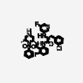 C[C@@H]1CNC[C@H](CCc2c(F)cccc2NC(=O)[C@H](Cc2cccc(Cl)c2)Nc2cncc(F)c2)N1S(=O)(=O)c1ccccc1